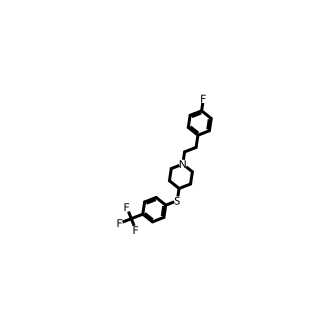 Fc1ccc(CCN2CCC(Sc3ccc(C(F)(F)F)cc3)CC2)cc1